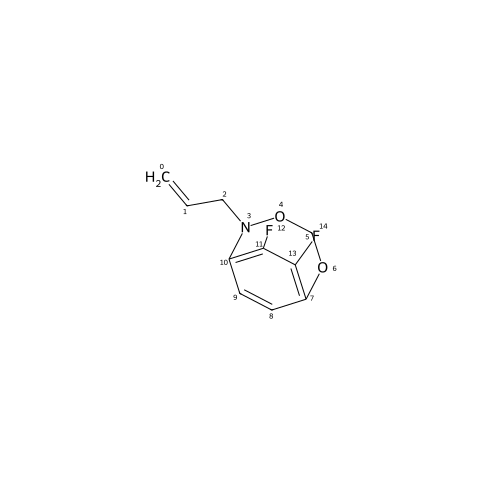 C=CCN1OCOc2ccc1c(F)c2F